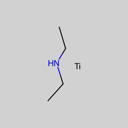 CCNCC.[Ti]